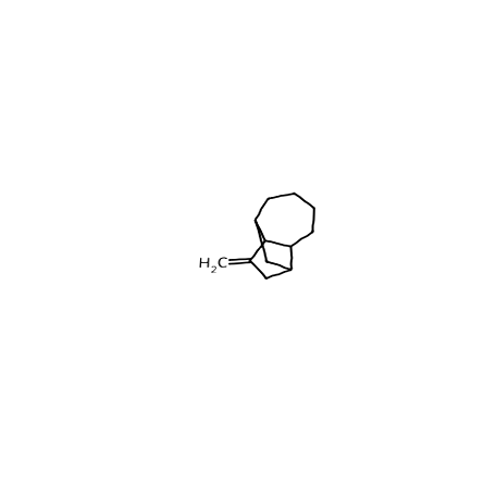 C=C1CC2CC3CCCCC2C13